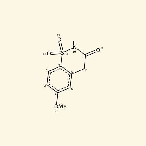 COc1ccc2c(c1)CC(=O)NS2(=O)=O